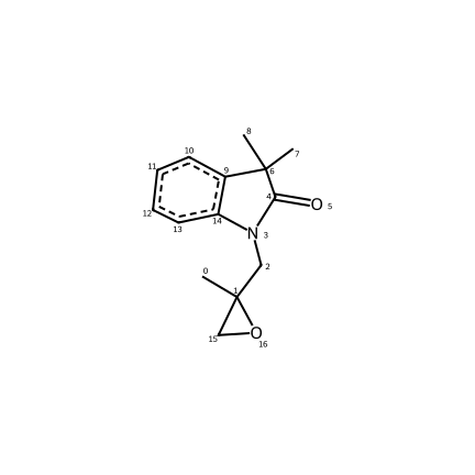 CC1(CN2C(=O)C(C)(C)c3ccccc32)CO1